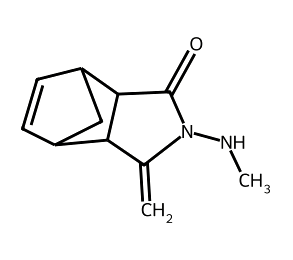 C=C1C2C3C=CC(C3)C2C(=O)N1NC